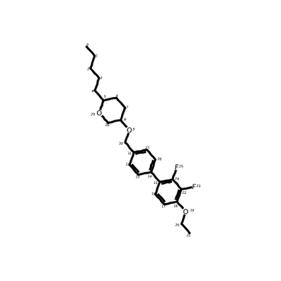 CCCCCC1CCC(OCc2ccc(-c3ccc(OCC)c(F)c3F)cc2)CO1